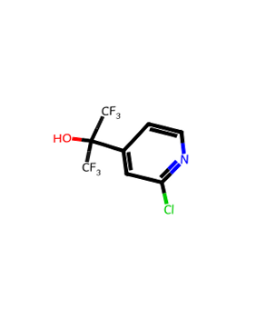 OC(c1ccnc(Cl)c1)(C(F)(F)F)C(F)(F)F